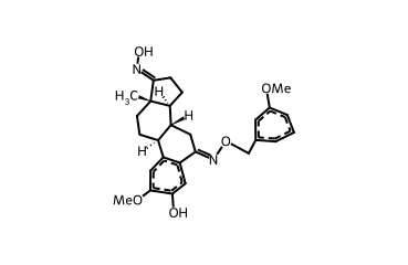 COc1cccc(CO/N=C2\C[C@@H]3[C@H](CC[C@]4(C)/C(=N/O)CC[C@@H]34)c3cc(OC)c(O)cc32)c1